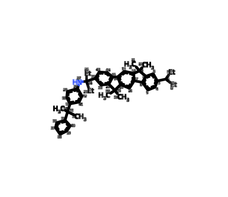 CCC(CC)c1ccc2c(c1)C(C)(C)c1cc3c(cc1-2)C(C)(C)c1cc(C(CC)(CC)Nc2ccc(C(C)(C)c4ccccc4)cc2)ccc1-3